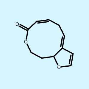 O=C1/C=C\C/C=C2/C=COC2CCO1